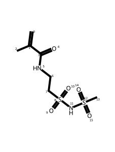 C=C(C)C(=O)NCCS(=O)(=O)NS(C)(=O)=O